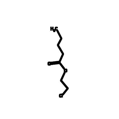 CCCCC(=O)OCCCl